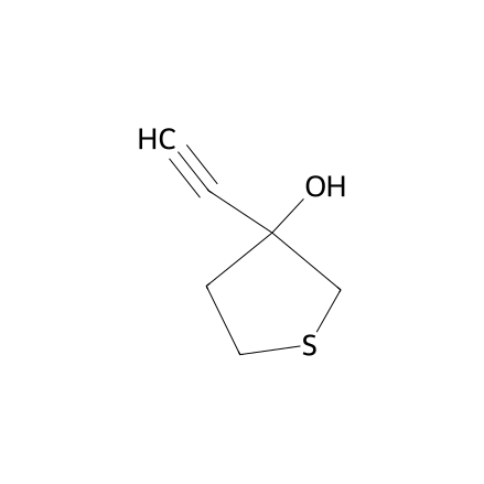 C#CC1(O)CCSC1